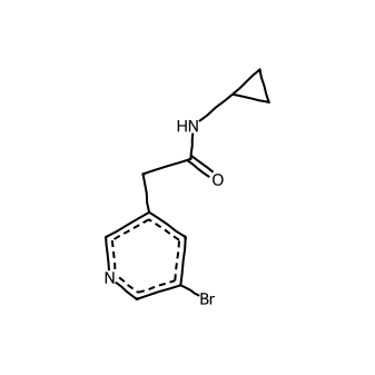 O=C(Cc1cncc(Br)c1)NC1CC1